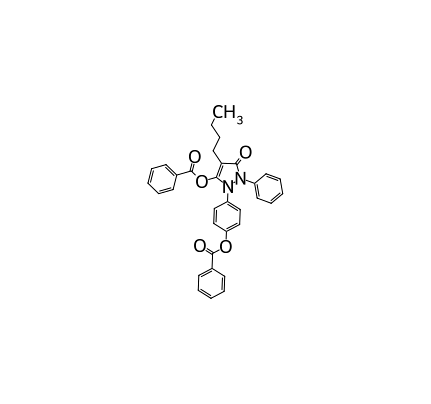 CCCCc1c(OC(=O)c2ccccc2)n(-c2ccc(OC(=O)c3ccccc3)cc2)n(-c2ccccc2)c1=O